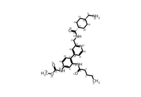 CCCCC(=O)Nc1cc(NC(=O)OC)ccc1-c1ccnc(CNC(=O)[C@H]2CC[C@H](CN)CC2)c1